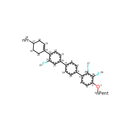 CCCCCOc1ccc(-c2ccc(-c3ccc(C4=CCC(CCC)CC4)c(F)c3)cc2)c(F)c1F